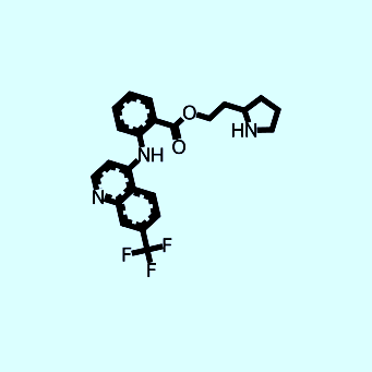 O=C(OCCC1CCCN1)c1ccccc1Nc1ccnc2cc(C(F)(F)F)ccc12